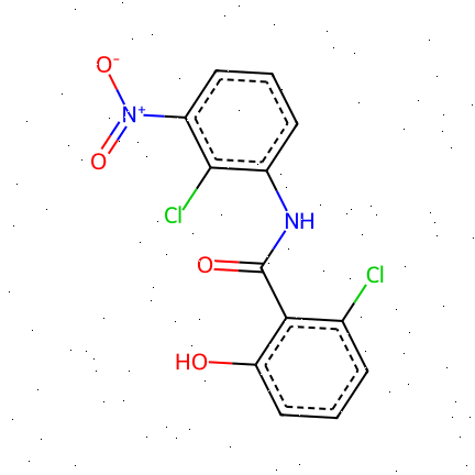 O=C(Nc1cccc([N+](=O)[O-])c1Cl)c1c(O)cccc1Cl